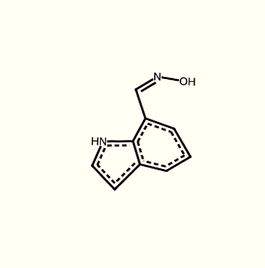 O/N=C\c1cccc2cc[nH]c12